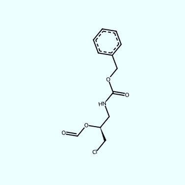 O=CO[C@H](CCl)CNC(=O)OCc1ccccc1